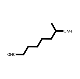 COC(C)CCCCCC=O